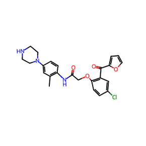 Cc1cc(N2CCNCC2)ccc1NC(=O)COc1ccc(Cl)cc1C(=O)c1ccco1